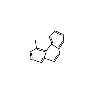 Cc1cncc2ccc3ccccc3c12